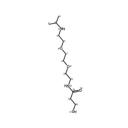 CC(C)NCCOCCOCCNC(=O)CCS